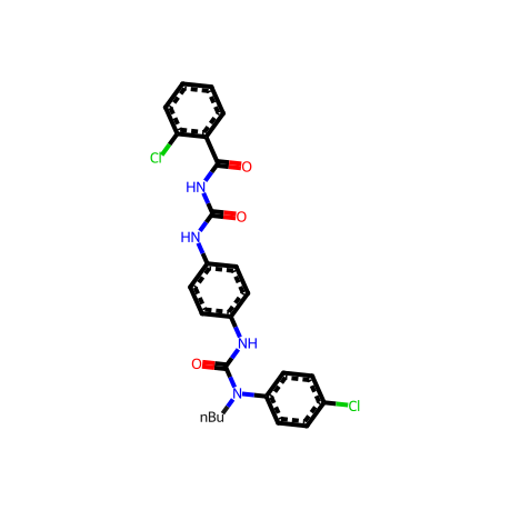 CCCCN(C(=O)Nc1ccc(NC(=O)NC(=O)c2ccccc2Cl)cc1)c1ccc(Cl)cc1